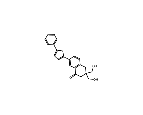 O=C1CC(CO)(CO)Cc2ccc(C3=CC=C(c4ccccc4)C3)cc21